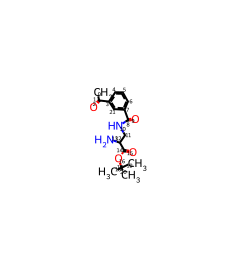 CC(=O)c1cccc(C(=O)NCC(N)C(=O)OC(C)(C)C)c1